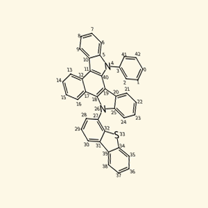 c1ccc(-n2c3ccccc3c3c4ccccc4c4c(c5ccccc5n4-c4cccc5c4sc4ccccc45)c32)cc1